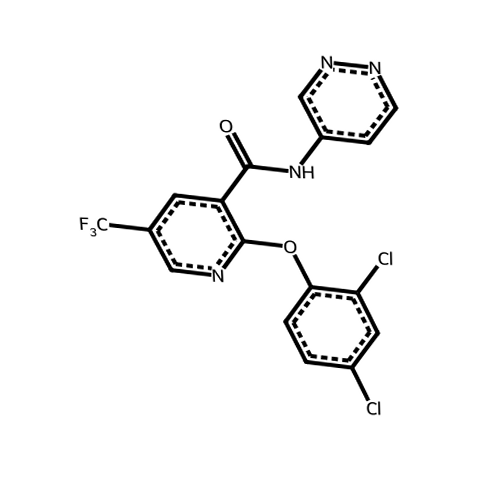 O=C(Nc1ccnnc1)c1cc(C(F)(F)F)cnc1Oc1ccc(Cl)cc1Cl